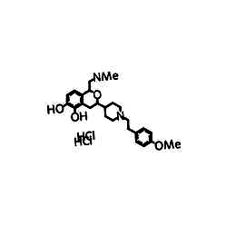 CNCC1OC(C2CCN(CCc3ccc(OC)cc3)CC2)Cc2c1ccc(O)c2O.Cl.Cl